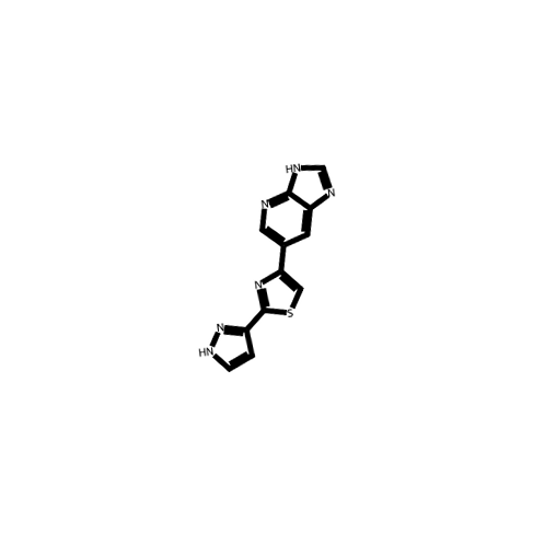 c1cc(-c2nc(-c3cnc4[nH]cnc4c3)cs2)n[nH]1